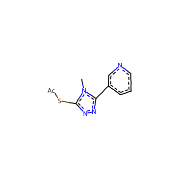 CC(=O)Sc1nnc(-c2cccnc2)n1C